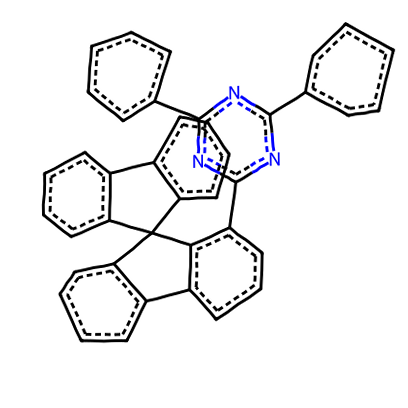 c1ccc(-c2nc(-c3ccccc3)nc(-c3cccc4c3C3(c5ccccc5-c5ccccc53)c3ccccc3-4)n2)cc1